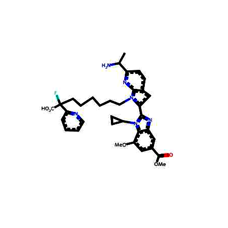 COC(=O)c1cc(OC)c2c(c1)nc(-c1cc3ccc(C(C)N)nc3n1CCCCCCC(F)(C(=O)O)c1ccccn1)n2C1CC1